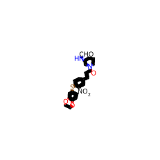 O=CNC1CCCN(C(=O)/C=C/c2ccc(Sc3ccc4c(c3)OCCO4)c([N+](=O)[O-])c2)C1